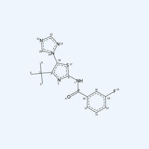 CC(C)(C)c1nc(NC(=O)c2cccc(F)c2)sc1-n1cncn1